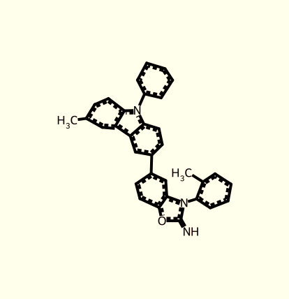 Cc1ccc2c(c1)c1cc(-c3ccc4oc(=N)n(-c5ccccc5C)c4c3)ccc1n2-c1ccccc1